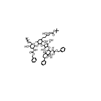 C[C@H]1C[C@@H](CCC(O)CNC(=O)OC(C)(C)C)[C@H](O)[C@@H](O[C@@H]2O[C@H](CO)[C@@H](O[C@H]3O[C@H]4CCC(c5ccccc5)O[C@H]4[C@H](O)[C@H]3NC(=O)OCc3ccccc3)[C@H]2O)[C@@H]1O[C@H]1O[C@H](CN=[N+]=[N-])[C@@H](O)C[C@H]1NC(=O)OCc1ccccc1